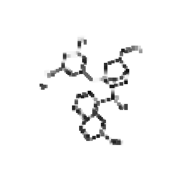 C=CC1C[N+]2(Cc3cc(C(F)(F)F)cc(C(F)(F)F)c3)CCC1CC2[C@H](O)c1ccnc2ccc(OC)cc12.[Br-]